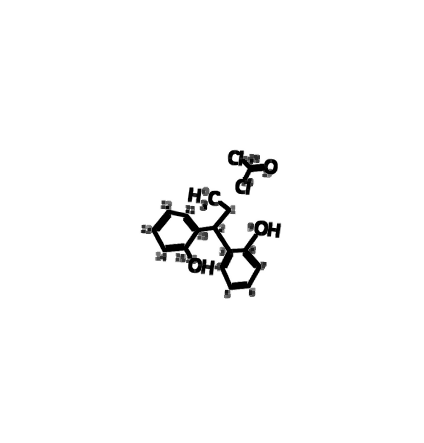 CCC(c1ccccc1O)c1ccccc1O.O=C(Cl)Cl